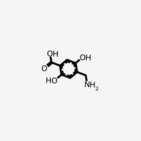 NCc1cc(O)c(C(=O)O)cc1O